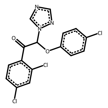 O=C(c1ccc(Cl)cc1Cl)C(Oc1ccc(Cl)cc1)n1cncn1